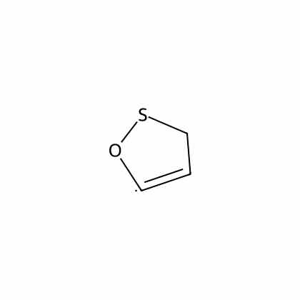 [C]1=CCSO1